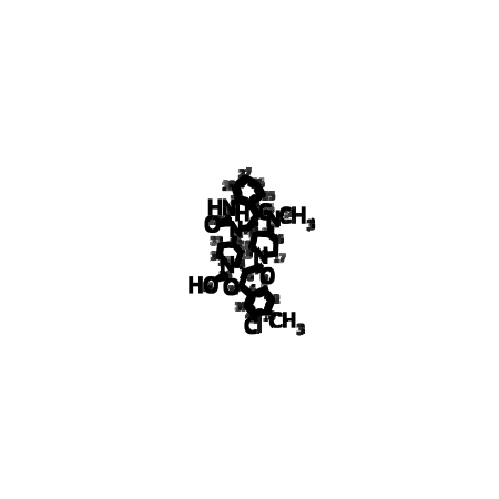 Cc1ccc(CC(C(=O)N2CCC(N(C)C)CC2)[C@H]2CC(N3CCc4ccccc4NC3=O)CCN2C(=O)O)cc1Cl